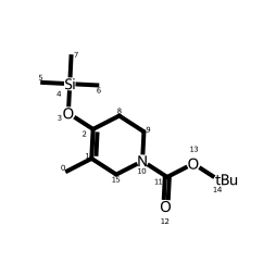 CC1=C(O[Si](C)(C)C)CCN(C(=O)OC(C)(C)C)C1